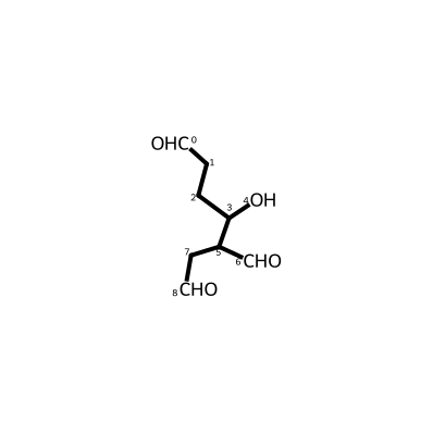 O=CCCC(O)C(C=O)CC=O